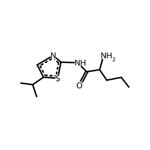 CCCC(N)C(=O)Nc1ncc(C(C)C)s1